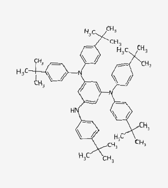 CC(C)(C)c1ccc(Nc2cc(N(c3ccc(C(C)(C)C)cc3)c3ccc(C(C)(C)C)cc3)cc(N(c3ccc(C(C)(C)C)cc3)c3ccc(C(C)(C)C)cc3)c2)cc1